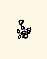 CC1(C)c2ccccc2-c2ccc3cccc(N(c4ccc(-c5ccccc5)cc4)c4ccc5c6ccccc6n(-c6ccccc6)c5c4)c3c21